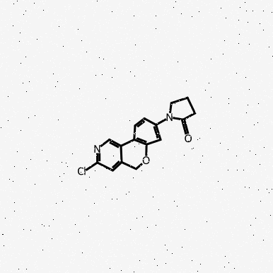 O=C1CCCN1c1ccc2c(c1)OCc1cc(Cl)ncc1-2